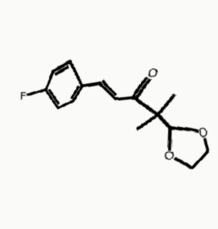 CC(C)(C(=O)/C=C/c1ccc(F)cc1)C1OCCO1